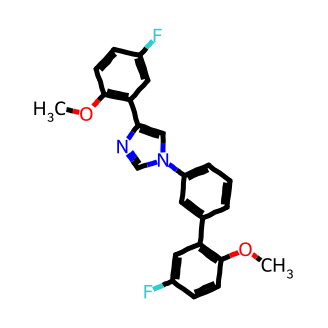 COc1ccc(F)cc1-c1cccc(-n2cnc(-c3cc(F)ccc3OC)c2)c1